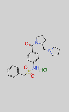 Cl.O=C(c1ccc(NS(=O)(=O)Cc2ccccc2)cc1)N1CCC[C@H]1CN1CCCC1